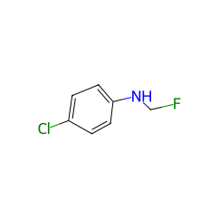 FCNc1ccc(Cl)cc1